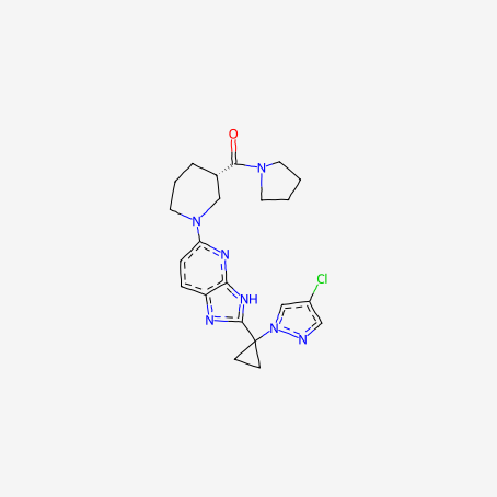 O=C([C@H]1CCCN(c2ccc3nc(C4(n5cc(Cl)cn5)CC4)[nH]c3n2)C1)N1CCCC1